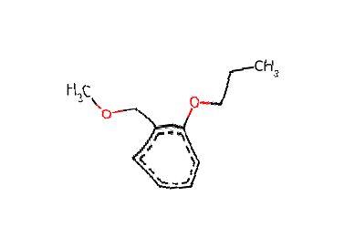 CCCOc1ccccc1COC